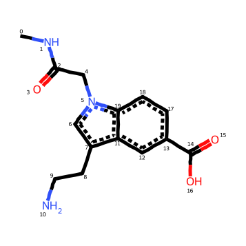 CNC(=O)Cn1cc(CCN)c2cc(C(=O)O)ccc21